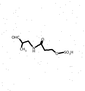 CC(C=O)CNC(=O)CCOS(=O)(=O)O